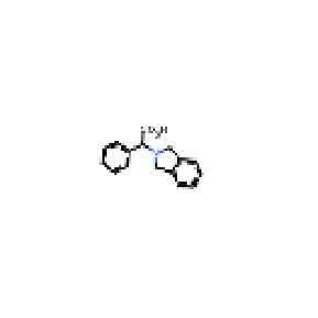 O=C(O)C(c1ccccc1)N1Cc2ccccc2C1